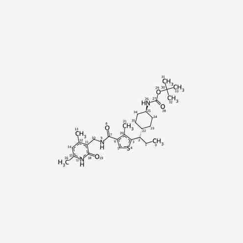 CCC(c1scc(C(=O)NCc2c(C)cc(C)[nH]c2=O)c1C)[C@H]1CC[C@H](NC(=O)OC(C)(C)C)CC1